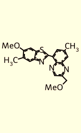 COCc1cnc2c(-c3nc4cc(C)c(OC)cc4s3)cc(C)cc2n1